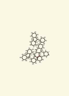 c1ccc(-c2ccccc2-c2c3cccc(-c4cccc5c6ccccc6p(-c6ccccc6)c45)c3cc3c(-c4cccc5c6ccccc6p(-c6ccccc6)c45)cccc23)cc1